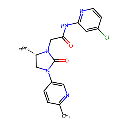 CCC[C@H]1CN(c2ccc(C(F)(F)F)nc2)C(=O)N1CC(=O)Nc1cc(Cl)ccn1